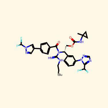 CC(C)(C)CCNC(=N)N(C(=O)c1ccc(-c2cnn(C(F)F)c2)cc1)[C@H](COC(=O)NC1(C)CC1)c1cccc(-n2ncnc2C(F)F)c1